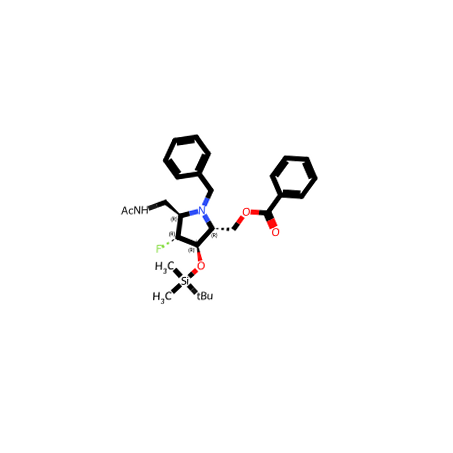 CC(=O)NC[C@@H]1[C@@H](F)[C@H](O[Si](C)(C)C(C)(C)C)[C@@H](COC(=O)c2ccccc2)N1Cc1ccccc1